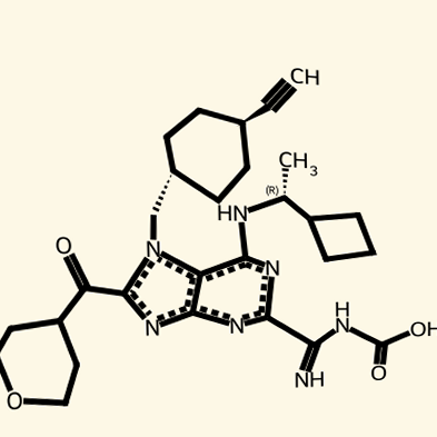 C#C[C@H]1CC[C@H](Cn2c(C(=O)C3CCOCC3)nc3nc(C(=N)NC(=O)O)nc(N[C@H](C)C4CCC4)c32)CC1